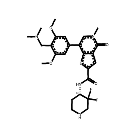 COc1cc(-c2cn(C)c(=O)c3cc(C(=O)N[C@H]4CCNCC4(F)F)sc23)cc(OC)c1CN(C)C